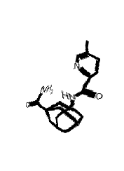 Cc1ccc(C(=O)NC23CC4CC(C2)CC(C(N)=O)(C4)C3)nc1